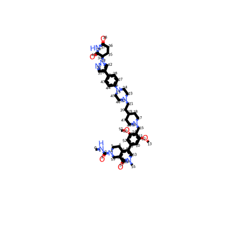 CNC(=O)N1CCc2c(-c3cc(OC)c(CN4CCC(CCN5CCN(c6ccc(-c7cnn(C8CCC(=O)NC8=O)c7)cc6)CC5)CC4)c(OC)c3)cn(C)c(=O)c2C1